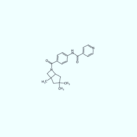 CC1(C)CC2N(C(=O)c3ccc(NC(=O)c4ccncc4)cc3)CC2(C)C1